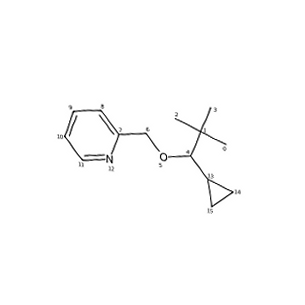 CC(C)(C)C(OCc1ccccn1)C1CC1